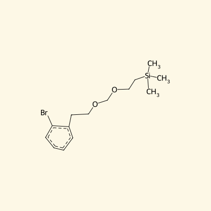 C[Si](C)(C)CCOCOCCc1ccccc1Br